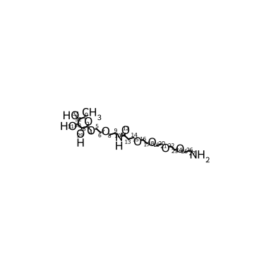 C[C@@H]1O[C@@H](OCCOCCNC(=O)CCOCCOCCOCCOCCN)[C@H](O)[C@H](O)[C@H]1O